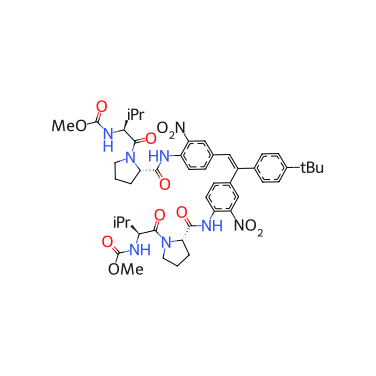 COC(=O)N[C@H](C(=O)N1CCC[C@H]1C(=O)Nc1ccc(C=C(c2ccc(C(C)(C)C)cc2)c2ccc(NC(=O)[C@@H]3CCCN3C(=O)[C@@H](NC(=O)OC)C(C)C)c([N+](=O)[O-])c2)cc1[N+](=O)[O-])C(C)C